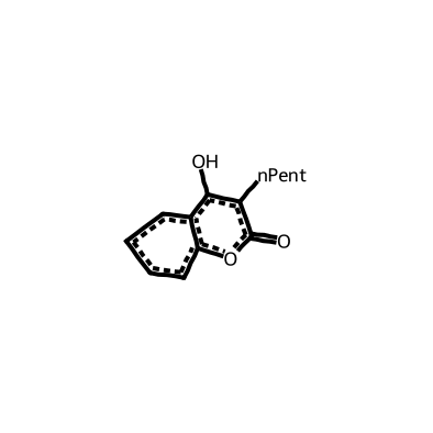 CCCCCc1c(O)c2ccccc2oc1=O